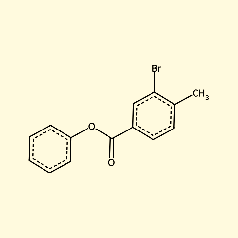 Cc1ccc(C(=O)Oc2ccccc2)cc1Br